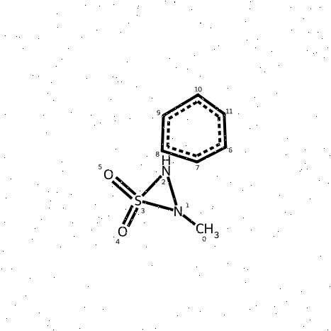 CN1NS1(=O)=O.c1ccccc1